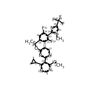 COc1ncnc(C2CC2)c1-c1nccc(O[C@H](C)c2cc(F)c(-c3nc(C(F)(F)F)cn3C)c(F)c2)n1